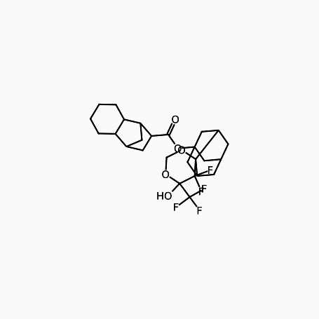 O=C(OC12CC3CC(C1)C1(OCOC(O)(C(F)(F)F)C1(F)F)C(C3)C2)C1CC2CC1C1CCCCC21